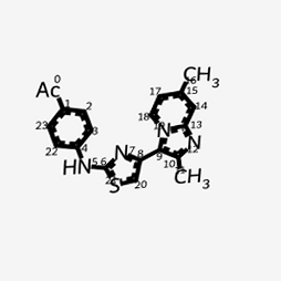 CC(=O)c1ccc(Nc2nc(-c3c(C)nc4cc(C)ccn34)cs2)cc1